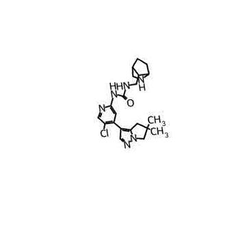 CC1(C)Cc2c(-c3cc(NC(=O)NCC4C5CCC4NC5)ncc3Cl)cnn2C1